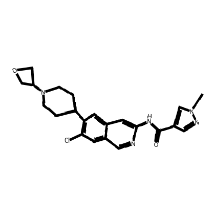 Cn1cc(C(=O)Nc2cc3cc(C4CCN(C5COC5)CC4)c(Cl)cc3cn2)cn1